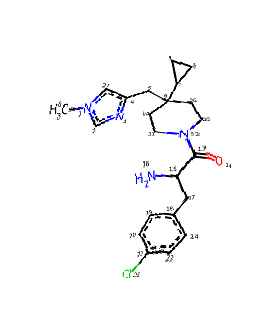 Cn1cnc(CC2(C3CC3)CCN(C(=O)C(N)Cc3ccc(Cl)cc3)CC2)c1